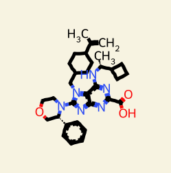 C=C(C)C1CCC(Cn2c(N3CCOC[C@H]3c3ccccc3)nc3nc(C(=O)O)nc(N[C@H](C)C4CCC4)c32)CC1